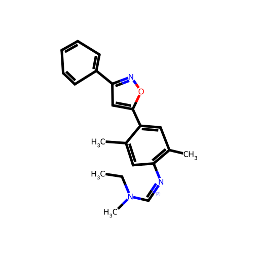 CCN(C)/C=N\c1cc(C)c(-c2cc(-c3ccccc3)no2)cc1C